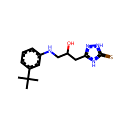 CC(C)(C)c1cccc(NCC(O)Cc2n[nH]c(=S)[nH]2)c1